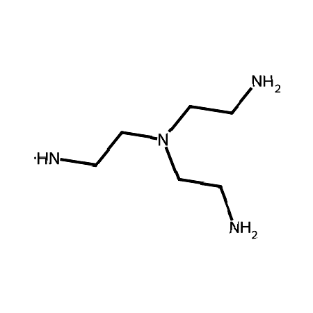 [NH]CCN(CCN)CCN